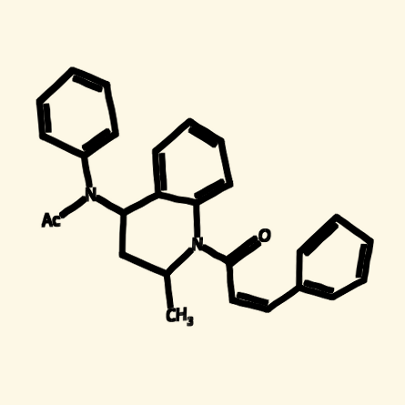 CC(=O)N(c1ccccc1)C1CC(C)N(C(=O)/C=C\c2ccccc2)c2ccccc21